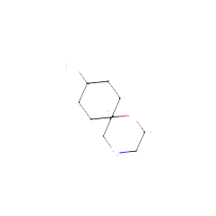 CC(C)(C)C1CCC2(CC1)CNCCO2